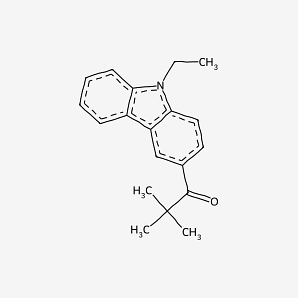 CCn1c2ccccc2c2cc(C(=O)C(C)(C)C)ccc21